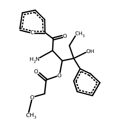 CCC(O)(c1ccccc1)C(OC(=O)COC)C(N)C(=O)c1ccccc1